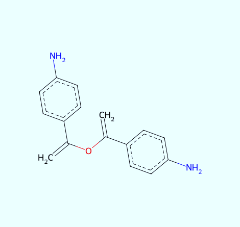 C=C(OC(=C)c1ccc(N)cc1)c1ccc(N)cc1